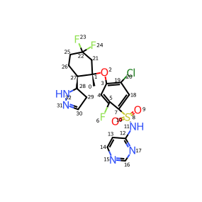 C[C@]1(Oc2cc(F)c(S(=O)(=O)Nc3ccncn3)cc2Cl)CC(F)(F)CC[C@@H]1C1CC=NN1